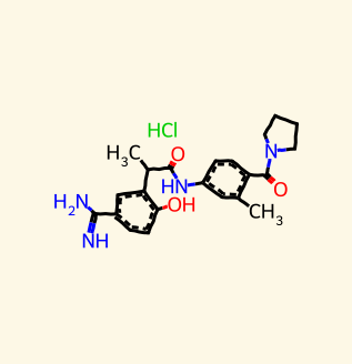 Cc1cc(NC(=O)C(C)c2cc(C(=N)N)ccc2O)ccc1C(=O)N1CCCC1.Cl